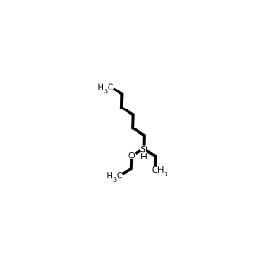 CCCCCC[SiH](CC)OCC